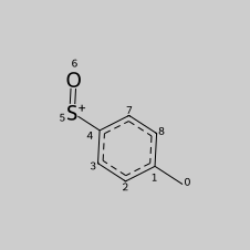 Cc1ccc([S+]=O)cc1